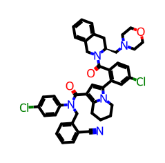 N#Cc1ccccc1CN(C(=O)c1cc(-c2cc(Cl)ccc2C(=O)N2Cc3ccccc3C[C@H]2CN2CCOCC2)n2c1CCCC2)c1ccc(Cl)cc1